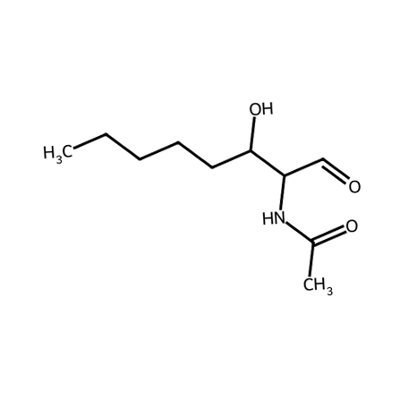 CCCCCC(O)C(C=O)NC(C)=O